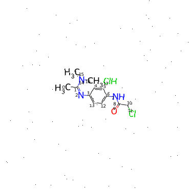 CC(=Nc1ccc(NC(=O)CCl)cc1)N(C)C.Cl